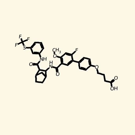 COc1cc(F)c(-c2ccc(OCCCC(=O)O)cc2)cc1C(=O)NC1C2CCC(C2)C1C(=O)Nc1cccc(SC(F)(F)F)c1